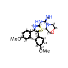 COc1ccc(-c2nc(NC(=N)N3CCOCC3)sc2-c2ccc(OC)cc2)cc1